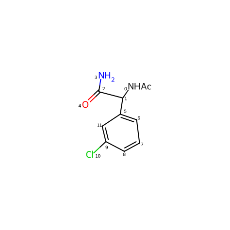 CC(=O)NC(C(N)=O)c1cccc(Cl)c1